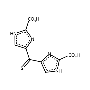 O=C(O)c1nc(C(=S)c2c[nH]c(C(=O)O)n2)c[nH]1